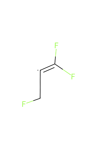 FC[C]=C(F)F